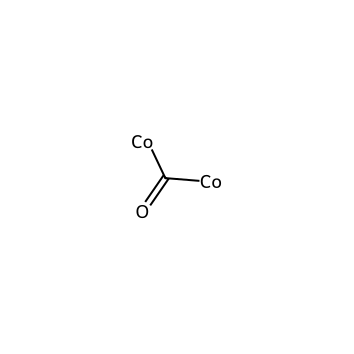 O=[C]([Co])[Co]